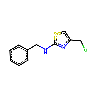 ClCc1csc(NCc2ccccc2)n1